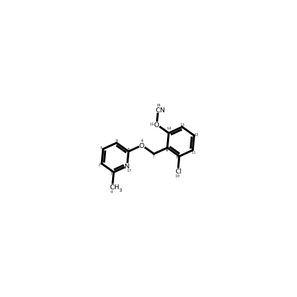 Cc1cccc(OCc2c(Cl)cccc2OC#N)n1